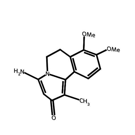 COc1ccc2c(c1OC)CCn1c(N)cc(=O)c(C)c1-2